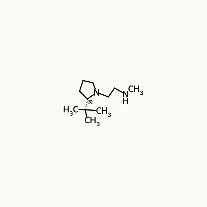 CNCCN1CCC[C@H]1C(C)(C)C